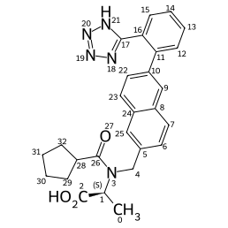 C[C@@H](C(=O)O)N(Cc1ccc2cc(-c3ccccc3-c3nnn[nH]3)ccc2c1)C(=O)C1CCCC1